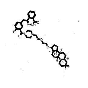 C[C@@]12CCC(F)(F)C[C@H]1CC[C@H]1[C@H]2CC[C@]2(C)[C@@H]1CC[C@H]2OCCOCCN1CCN(C(=O)c2cc(Cc3n[nH]c(=O)c4ccccc34)ccc2F)CC1